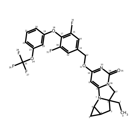 CCC12CC3CC3N1c1cc(OCc3cc(F)c(Oc4cccc(OC(F)(F)F)c4)c(F)c3)nc(=O)n1C2